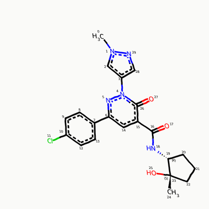 Cn1cc(-n2nc(-c3ccc(Cl)cc3)cc(C(=O)N[C@@H]3CCC[C@]3(C)O)c2=O)cn1